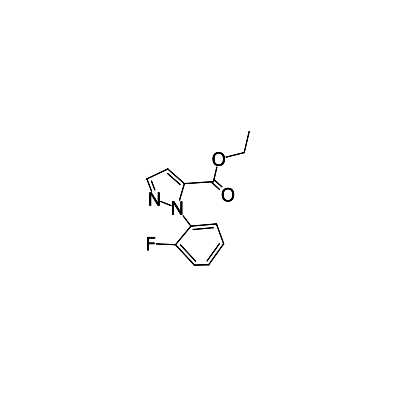 CCOC(=O)c1ccnn1-c1ccccc1F